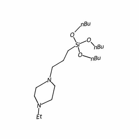 CCCCO[Si](CCCN1CCN(CC)CC1)(OCCCC)OCCCC